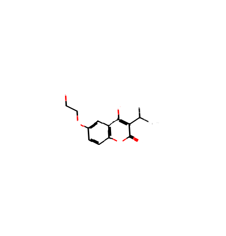 CCCCCC(CC)c1c(O)c2cc(OCCO)ccc2oc1=O